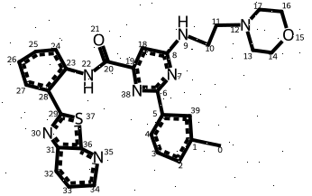 Cc1cccc(-c2nc(NCCN3CCOCC3)cc(C(=O)Nc3ccccc3-c3nc4cccnc4s3)n2)c1